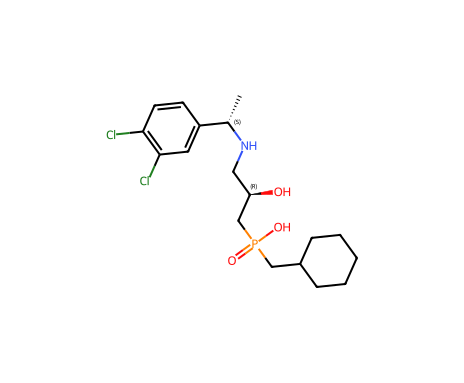 C[C@H](NC[C@@H](O)CP(=O)(O)CC1CCCCC1)c1ccc(Cl)c(Cl)c1